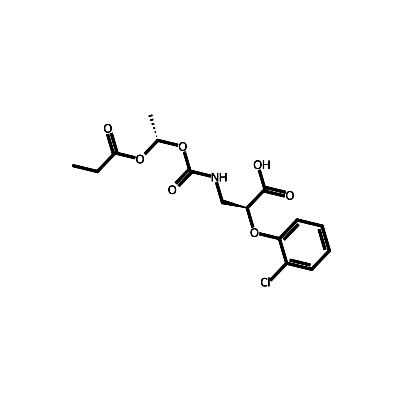 CCC(=O)O[C@H](C)OC(=O)NC[C@H](Oc1ccccc1Cl)C(=O)O